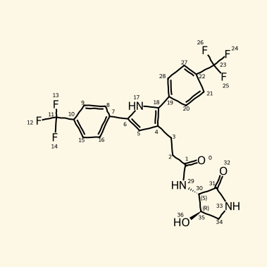 O=C(CCc1cc(-c2ccc(C(F)(F)F)cc2)[nH]c1-c1ccc(C(F)(F)F)cc1)N[C@@H]1C(=O)NC[C@H]1O